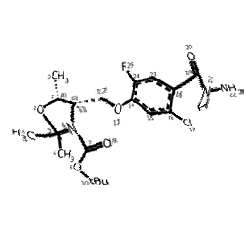 C[C@H]1OC(C)(C)N(C(=O)OC(C)(C)C)[C@H]1COc1cc(Cl)c(C(=O)NN)cc1F